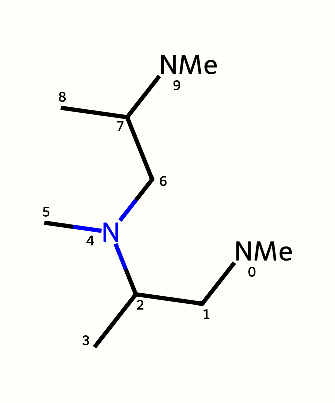 CNCC(C)N(C)CC(C)NC